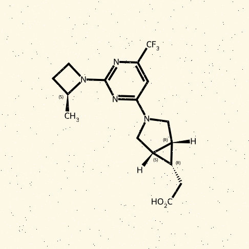 C[C@H]1CCN1c1nc(N2C[C@@H]3[C@H](CC(=O)O)[C@@H]3C2)cc(C(F)(F)F)n1